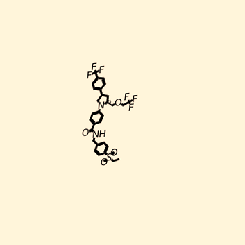 CCS(=O)(=O)c1ccc(CNC(=O)c2ccc(N3CC(c4ccc(C(F)(F)F)cc4)C[C@H]3COCC(F)(F)F)cc2)cc1